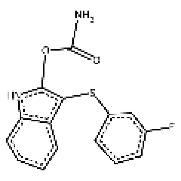 NC(=O)Oc1[nH]c2ccccc2c1Sc1cccc(F)c1